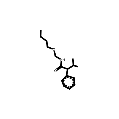 CCCCOCNC(=O)C(c1ccccc1)C(C)C